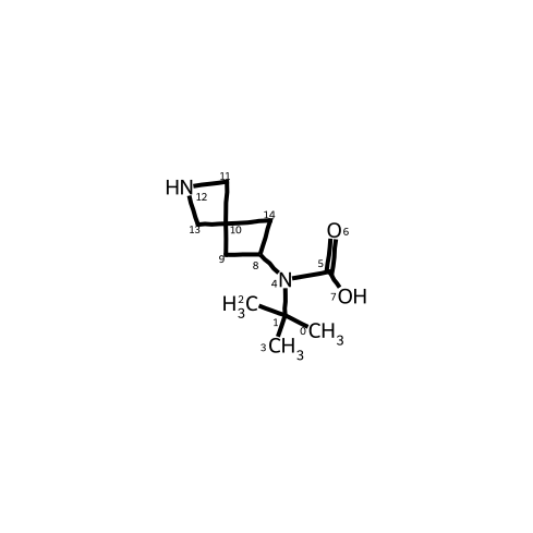 CC(C)(C)N(C(=O)O)C1CC2(CNC2)C1